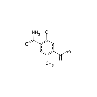 Cc1cc(C(N)=O)c(O)cc1NC(C)C